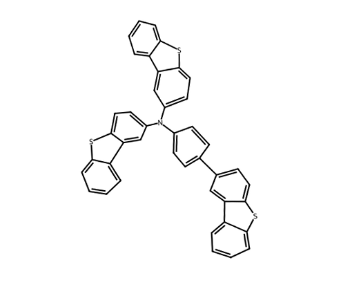 c1ccc2c(c1)sc1ccc(-c3ccc(N(c4ccc5sc6ccccc6c5c4)c4ccc5sc6ccccc6c5c4)cc3)cc12